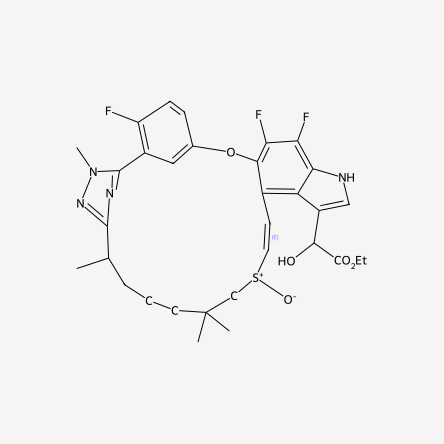 CCOC(=O)C(O)c1c[nH]c2c(F)c(F)c3c(c12)/C=C/[S+]([O-])CC(C)(C)CCCC(C)c1nc(n(C)n1)-c1cc(ccc1F)O3